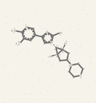 CC(C)c1nc(-c2cnc(N)c(C(F)(F)F)c2)cn1[C@@H]1[C@@H]2CC(N3CCOCC3)C[C@@H]21